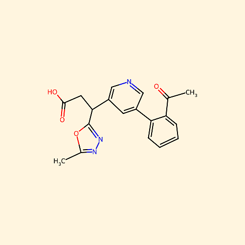 CC(=O)c1ccccc1-c1cncc(C(CC(=O)O)c2nnc(C)o2)c1